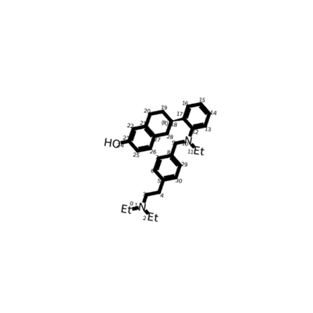 CCN(CC)CCc1ccc(CN(CC)c2ccccc2[C@@H]2CCc3cc(O)ccc3C2)cc1